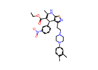 CCOC(=O)C1=C(C)Nc2snc(CCN3CCN(c4ccc(C)c(C)c4)CC3)c2C1c1cccc([N+](=O)[O-])c1